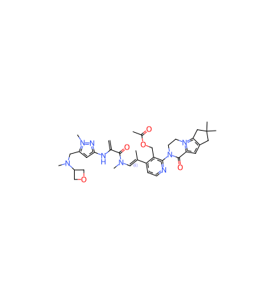 C=C(Nc1cc(CN(C)C2COC2)n(C)n1)C(=O)N(C)/C=C(\C)c1ccnc(N2CCn3c(cc4c3CC(C)(C)C4)C2=O)c1COC(C)=O